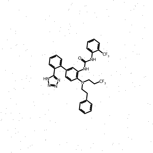 O=C(Nc1cc(-c2ccccc2-c2nnn[nH]2)ccc1N(CCc1ccccc1)CCC(F)(F)F)Nc1ccccc1C(F)(F)F